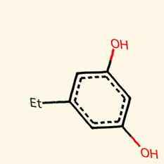 [CH2]Cc1cc(O)cc(O)c1